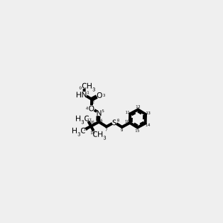 CNC(=O)ON=C(CSCc1ccccc1)C(C)(C)C